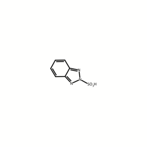 O=S(=O)(O)n1nc2ccccc2n1